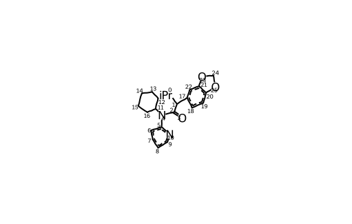 CC(C)C(C(=O)N(c1ccccn1)C1CCCCC1)c1ccc2c(c1)OCO2